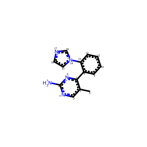 Cc1cnc(N)nc1-c1ccccc1-n1ccnc1